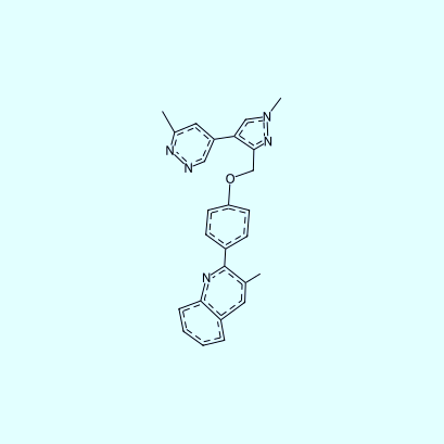 Cc1cc(-c2cn(C)nc2COc2ccc(-c3nc4ccccc4cc3C)cc2)cnn1